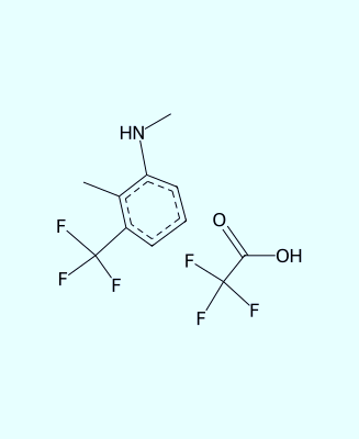 CNc1cccc(C(F)(F)F)c1C.O=C(O)C(F)(F)F